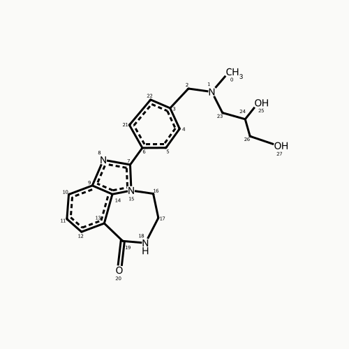 CN(Cc1ccc(-c2nc3cccc4c3n2CCNC4=O)cc1)CC(O)CO